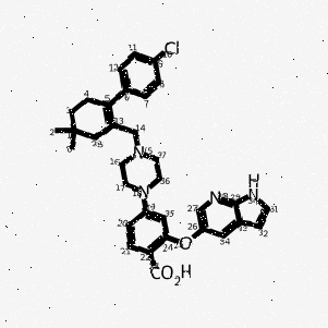 CC1(C)CCC(c2ccc(Cl)cc2)=C(CN2CCN(c3ccc(C(=O)O)c(Oc4cnc5[nH]ccc5c4)c3)CC2)C1